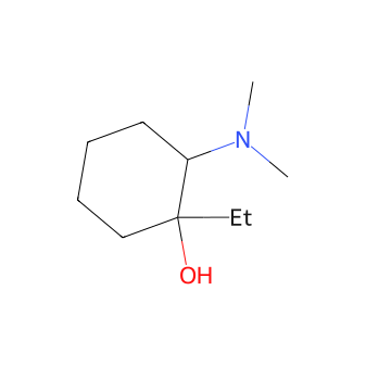 CCC1(O)CCCCC1N(C)C